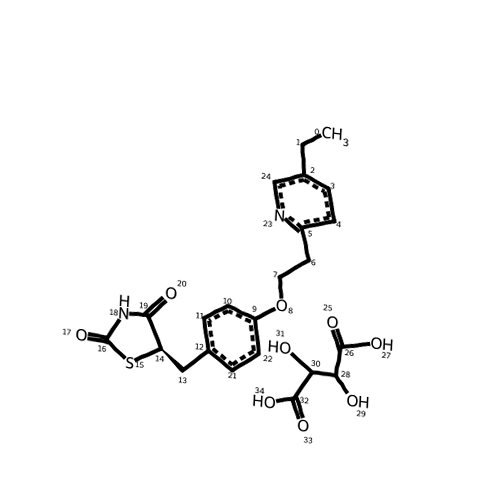 CCc1ccc(CCOc2ccc(C[C@H]3SC(=O)NC3=O)cc2)nc1.O=C(O)C(O)C(O)C(=O)O